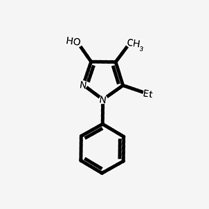 CCc1c(C)c(O)nn1-c1ccccc1